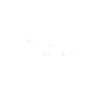 CCCN(CC)C(=O)[C@H]1C=C2c3cccc4[nH]cc(c34)C[C@H]2N(Cc2ccccc2)C1